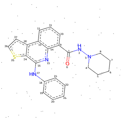 O=C(NN1CCCCC1)c1cccc2c1nc(Nc1ccccc1)c1sccc12